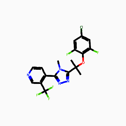 Cn1c(-c2ccncc2C(F)(F)F)nnc1C(C)(C)Oc1c(F)cc(Cl)cc1F